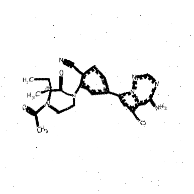 CC[C@]1(C)C(=O)N(c2cc(-c3cc(Cl)c4c(N)ncnn34)ccc2C#N)CCN1C(C)=O